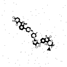 C[C@H]1CN(c2ncc(Cl)c(Nc3ccc4c(c3)c3c(c(=O)n4C)OCC(F)(F)[C@H](C4CC4)N3)n2)CC[C@@H]1CN1CCC(c2cccc3c(C4CCC(=O)NC4=O)nn(C)c23)CC1